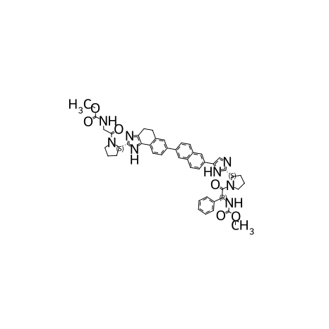 COC(=O)NCC(=O)N1CCC[C@H]1c1nc2c([nH]1)-c1ccc(-c3ccc4cc(-c5cnc([C@@H]6CCCN6C(=O)[C@H](NC(=O)OC)c6ccccc6)[nH]5)ccc4c3)cc1CC2